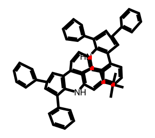 CC(C)(C)c1cc(Nc2c(-c3ccccc3)cc(-c3ccccc3)cc2-c2ccccc2)cc(Nc2c(-c3ccccc3)cc(-c3ccccc3)cc2-c2ccccc2)c1